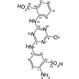 Nc1ccc(Nc2nc(Cl)nc(Nc3ccccc3C(=O)O)n2)cc1S(=O)(=O)O